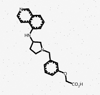 O=C(O)COc1cccc(CN2CCC(Nc3cccc4cnccc34)C2)c1